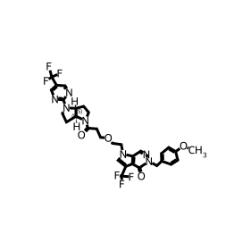 COc1ccc(Cn2ncc3c(c(C(F)(F)F)cn3CCOCCC(=O)N3CC[C@H]4[C@@H]3CCN4c3ncc(C(F)(F)F)cn3)c2=O)cc1